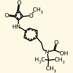 COc1c(Nc2ccc(CCN(C(=O)O)C(C)(C)C)cc2)c(=O)c1=O